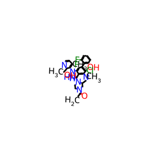 C=CC(=O)N1CCN2C(=N)c3c(Nc4c(C)ccnc4C(C)O)c(F)c(-c4c(O)cccc4F)c(Cl)c3N(C)CC2C1